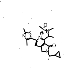 Cc1nc(C)c(-c2cc3c(c(C(C)N(C)S(C)(=O)=O)n2)C(=O)N([C@@H](C)C2CC2)C3)s1